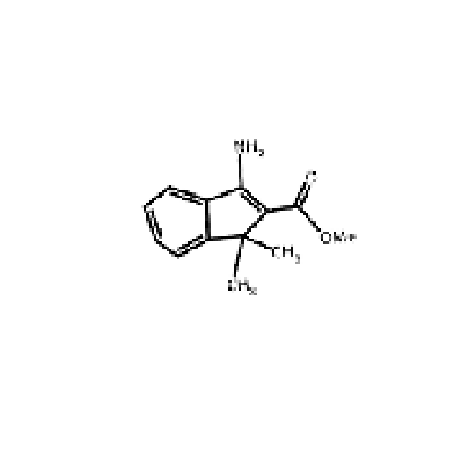 COC(=O)C1=C(N)c2ccccc2C1(C)C